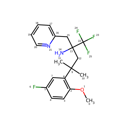 COc1ccc(F)cc1C(C)(C)CC(N)(Cc1ccccn1)C(F)(F)F